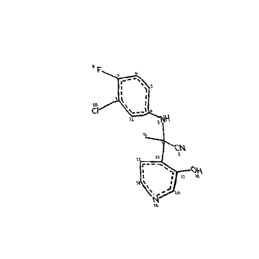 CC(C#N)(Nc1ccc(F)c(Cl)c1)c1ccncc1O